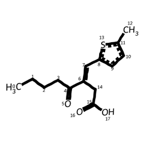 CCCCC(=O)/C(=C/c1ccc(C)s1)CC(=O)O